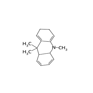 CN1C2=CCCC=C2C(C)(C)C2C=CC=CC21